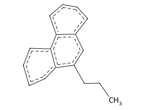 CCCc1cc2ccccc2c2ccccc12